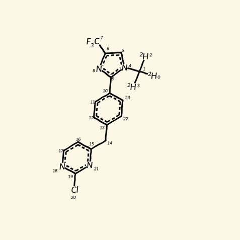 [2H]C([2H])([2H])n1cc(C(F)(F)F)nc1-c1ccc(Cc2ccnc(Cl)n2)cc1